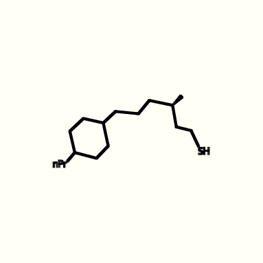 CCCC1CCC(CCC[C@@H](C)CCS)CC1